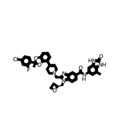 Cc1cc(NC(=O)c2ccc3c(c2)nc(CN2CC=C(c4cccc5c4OC(C)(c4ccc(Cl)cc4F)O5)CC2)n3C[C@@H]2CCO2)cc2[nH]c(=O)[nH]c12